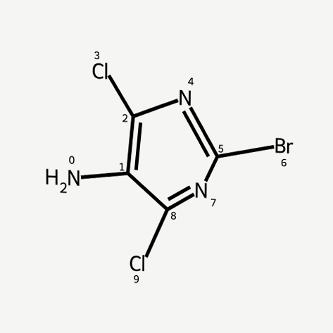 Nc1c(Cl)nc(Br)nc1Cl